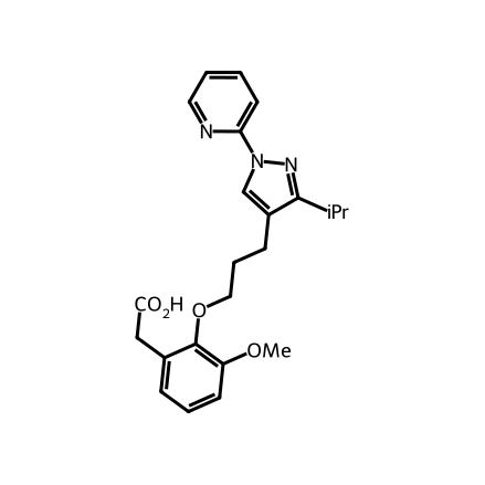 COc1cccc(CC(=O)O)c1OCCCc1cn(-c2ccccn2)nc1C(C)C